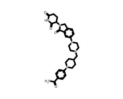 NC(=O)c1ccc(N2CCC(CN3CCN(c4ccc5c(c4)C(=O)N(C4CCC(=O)NC4=O)C5)CC3)CC2)cc1